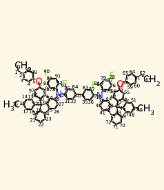 C=Cc1ccc(Oc2ccc(C3(c4ccc(C)cc4)c4ccccc4-c4ccc(N(c5ccc(-c6ccc(N(c7ccc8c(c7)C(c7ccc(C)cc7)(c7ccc(Oc9ccc(C=C)cc9)cc7)c7ccccc7-8)c7ccc(F)cc7F)cc6)cc5)c5ccc(F)cc5F)cc43)cc2)cc1